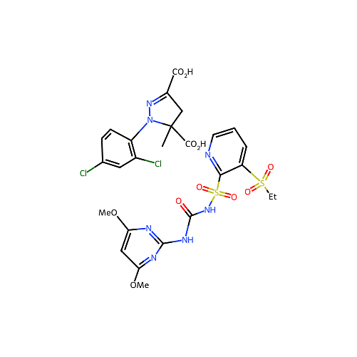 CC1(C(=O)O)CC(C(=O)O)=NN1c1ccc(Cl)cc1Cl.CCS(=O)(=O)c1cccnc1S(=O)(=O)NC(=O)Nc1nc(OC)cc(OC)n1